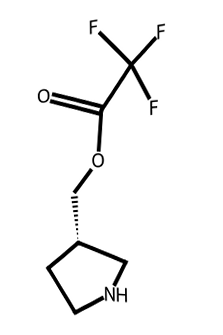 O=C(OC[C@H]1CCNC1)C(F)(F)F